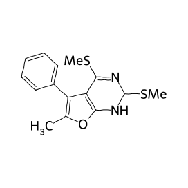 CSC1=NC(SC)Nc2oc(C)c(-c3ccccc3)c21